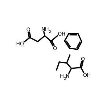 CCC(C)C(N)C(=O)O.NC(CC(=O)O)C(=O)O.c1ccccc1